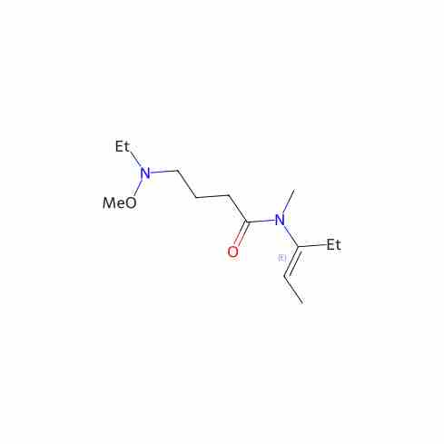 C/C=C(\CC)N(C)C(=O)CCCN(CC)OC